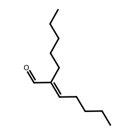 CCCC/C=C(/C=O)CCCCC